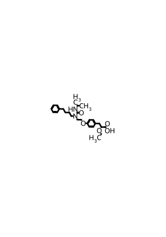 CCOC(Cc1ccc(OCCN(CCCCc2ccccc2)C(=O)NC(C)C)cc1)C(=O)O